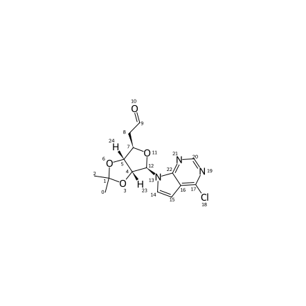 CC1(C)O[C@@H]2[C@H](O1)[C@@H](CC=O)O[C@H]2n1ccc2c(Cl)ncnc21